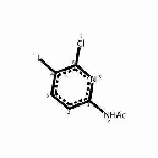 CC(=O)Nc1ccc(I)c(Cl)n1